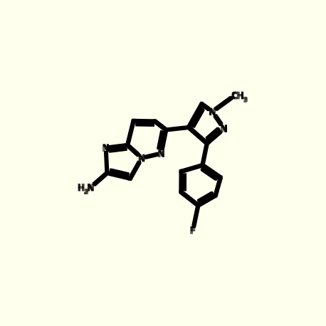 Cn1cc(-c2ccc3nc(N)cn3n2)c(-c2ccc(F)cc2)n1